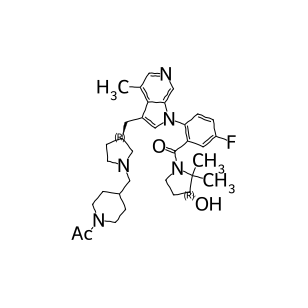 CC(=O)N1CCC(CN2CC[C@@H](Cc3cn(-c4ccc(F)cc4C(=O)N4CC[C@@H](O)C4(C)C)c4cncc(C)c34)C2)CC1